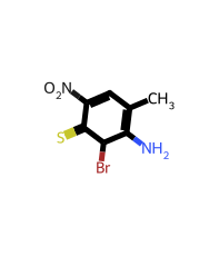 CC1=C(N)C(Br)C(=S)C([N+](=O)[O-])=C1